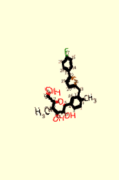 Cc1ccc(C2OC(CO)[C@@H](C)C(O)[C@H]2O)cc1Cc1ccc(-c2ccc(F)cc2)s1